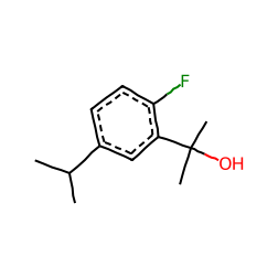 CC(C)c1ccc(F)c(C(C)(C)O)c1